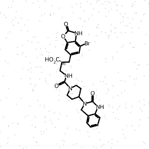 O=C(O)[C@@H](CNC(=O)N1CCC(N2Cc3ccccc3NC2=O)CC1)Cc1cc(Br)c2[nH]c(=O)oc2c1